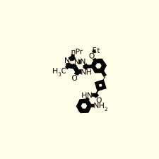 CCCc1nc(C)c2c(=O)[nH]c(-c3cc(C[C@H]4C[C@H](C(=O)Nc5ccccc5N)C4)ccc3OCC)nn12